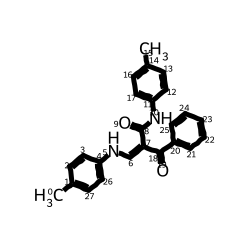 Cc1ccc(NC=C(C(=O)Nc2ccc(C)cc2)C(=O)c2ccccc2)cc1